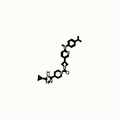 CC(C)c1ccc(N(C)c2ccc(C3CN(C(=O)N4CCC(c5nnc(C6CC6)[nH]5)CC4)C3)cn2)cc1